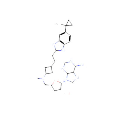 CN(C[C@H]1O[C@@H](N2CNC3C(N)NCNC32)[C@H](O)[C@@H]1O)C1CC(CCC2Nc3ccc(C4(C#N)CC4)cc3N2)C1